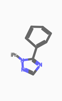 CC(C)n1ncnc1-c1ccccc1